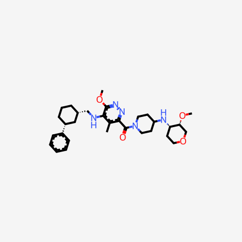 COc1nnc(C(=O)N2CCC(N[C@H]3CCOC[C@H]3OC)CC2)c(C)c1NC[C@H]1CCC[C@@H](c2ccccc2)C1